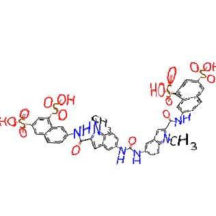 Cn1c(C(=O)Nc2ccc3cc(S(=O)(=O)O)cc(S(=O)(=O)O)c3c2)cc2cc(NC(=O)Nc3ccc4c(c3)cc(C(=O)Nc3ccc5cc(S(=O)(=O)O)cc(S(=O)(=O)O)c5c3)n4C)ccc21